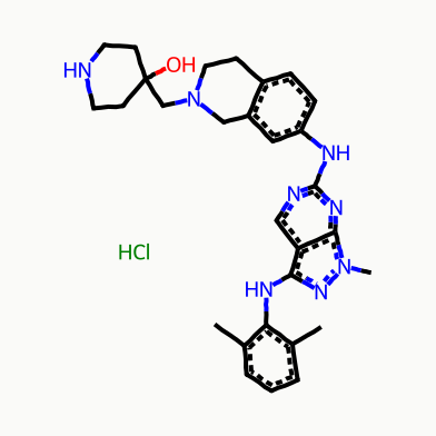 Cc1cccc(C)c1Nc1nn(C)c2nc(Nc3ccc4c(c3)CN(CC3(O)CCNCC3)CC4)ncc12.Cl